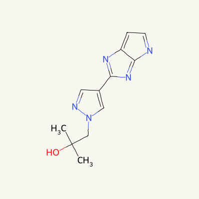 CC(C)(O)Cn1cc(C2=NC3=CC=NC3=N2)cn1